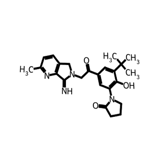 Cc1ccc2c(n1)C(=N)N(CC(=O)c1cc(N3CCCC3=O)c(O)c(C(C)(C)C)c1)C2